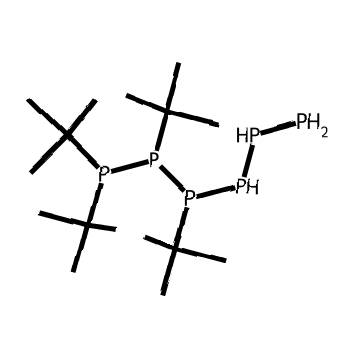 CC(C)(C)P(PPP)P(P(C(C)(C)C)C(C)(C)C)C(C)(C)C